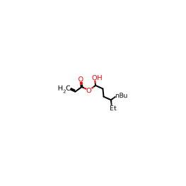 C=CC(=O)OC(O)CCC(CC)CCCC